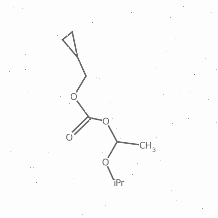 CC(C)OC(C)OC(=O)OCC1CC1